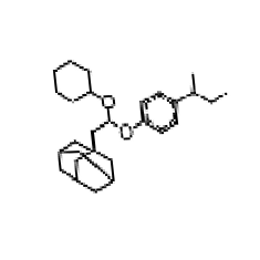 CCC(C)c1ccc(OC(CC23CC4CC(CC(C4)C2)C3)OC2CCCCC2)cc1